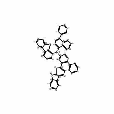 c1ccc(-c2ccc(N(c3ccc(-c4ccccc4)c4ccccc34)c3cccc4c3sc3ccccc34)cc2-c2ccc3c(c2)sc2ccccc23)cc1